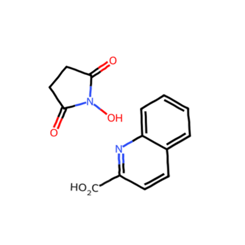 O=C(O)c1ccc2ccccc2n1.O=C1CCC(=O)N1O